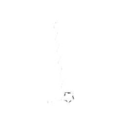 CCCCCCCCCC[n+]1cc[nH]c1CCCCCCCCCCCC(C)C